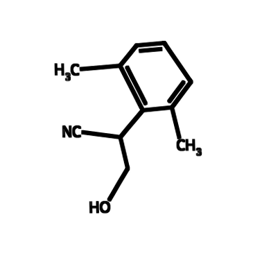 Cc1cccc(C)c1C(C#N)CO